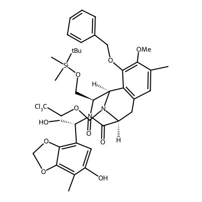 COc1c(C)cc2c(c1OCc1ccccc1)[C@@H]1[C@H](CO[Si](C)(C)C(C)(C)C)N([C@@H](CO)c3cc(O)c(C)c4c3OCO4)C(=O)[C@H](C2)N1C(=O)OCC(Cl)(Cl)Cl